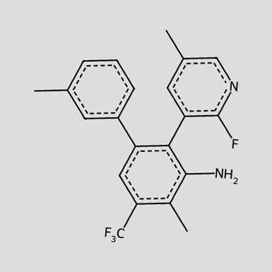 Cc1cccc(-c2cc(C(F)(F)F)c(C)c(N)c2-c2cc(C)cnc2F)c1